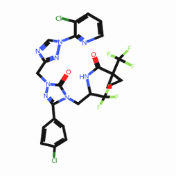 O=C(NC(Cn1c(-c2ccc(Cl)cc2)nn(Cc2ncn(-c3ncccc3Cl)n2)c1=O)C(F)(F)F)C1(C(F)(F)F)CC1